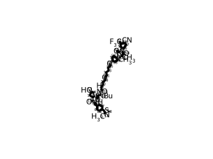 Cc1ncsc1-c1ccc(CNC(=O)[C@@H]2C[C@@H](O)CN2C(=O)C(NC(=O)CCCCOCCCCCOc2ccc(N3C(=O)N(c4ccc(C#N)c(C(F)(F)F)c4)C(=O)C3(C)C)cc2)C(C)(C)C)cc1